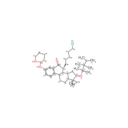 CC(C)C(C)(C)[Si](C)(C)O[C@@H]1CC2C3C(CC[C@]2(C)C12CC2)c1ccc(OC2CCCCO2)cc1C(=O)[C@H]3CCCCCCl